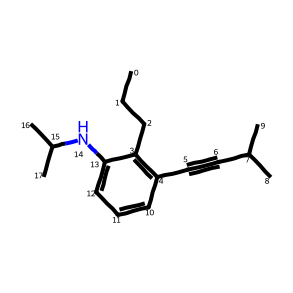 CCCc1c(C#CC(C)C)cccc1NC(C)C